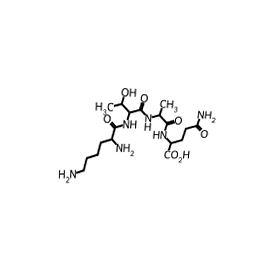 CC(NC(=O)C(NC(=O)C(N)CCCCN)C(C)O)C(=O)NC(CCC(N)=O)C(=O)O